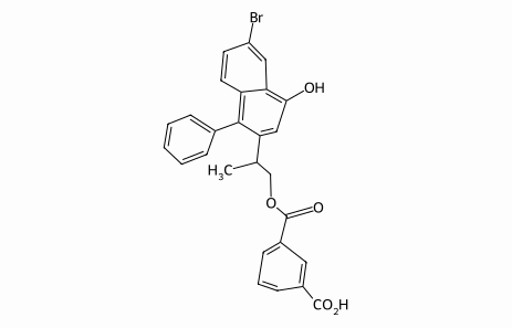 CC(COC(=O)c1cccc(C(=O)O)c1)c1cc(O)c2cc(Br)ccc2c1-c1ccccc1